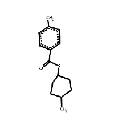 Cc1ccc(C(=O)SC2CCC(C)CC2)cc1